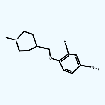 CN1CCC(COc2ccc([N+](=O)[O-])cc2F)CC1